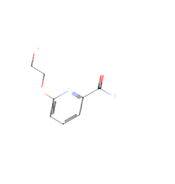 NC(=O)c1[c]ccc(OCCO)n1